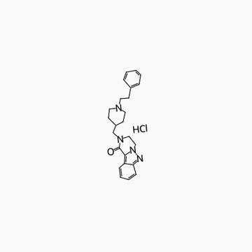 Cl.O=C1c2c3ccccc3nn2CCN1CC1CCN(CCc2ccccc2)CC1